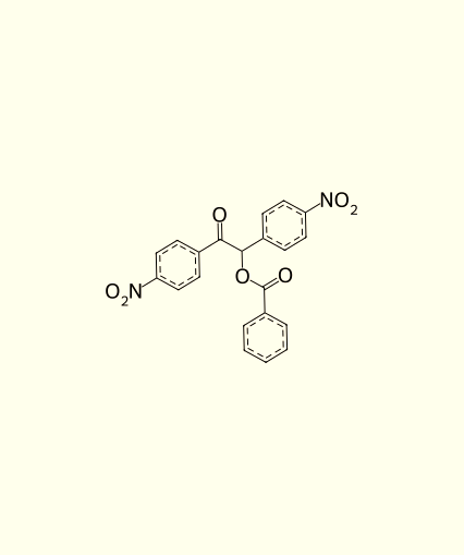 O=C(OC(C(=O)c1ccc([N+](=O)[O-])cc1)c1ccc([N+](=O)[O-])cc1)c1ccccc1